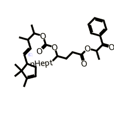 CCCCCCCC(CCC(=O)OC(C)C(=O)c1ccccc1)OC(=O)OC(C)C(C)/C=C/C1CC=C(C)C1(C)C